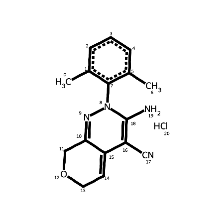 Cc1cccc(C)c1N1N=C2COCC=C2C(C#N)=C1N.Cl